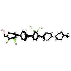 BCc1ccc(-c2ccc(-c3ccc(C4=CCC(C5CCC(C=C)CC5)CC4)c(F)c3F)cc2)c(F)c1F